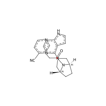 N#Cc1ccccc1CC(=O)N1[C@@H]2CC[C@@H]1CN(c1ncnc3[nH]ccc13)C2